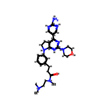 CCN(C)CCN(CC)C(=O)CCc1cccc(N2CCc3c(-c4cnc(N)nc4)nc(N4CCOCC4)nc32)c1